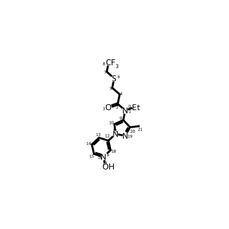 CCN(C(=O)CCSCC(F)(F)F)c1cn(-c2ccc[n+](O)c2)nc1C